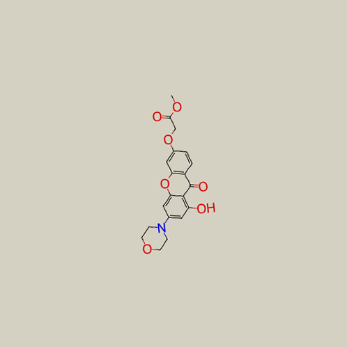 COC(=O)COc1ccc2c(=O)c3c(O)cc(N4CCOCC4)cc3oc2c1